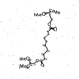 COC(COC(=O)CCCCCCCCC(=O)OCC(OC)OC)OC